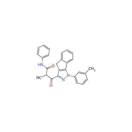 Cc1cccc(-n2nc(C(=O)C(C#N)C(=O)Nc3ccccc3)c3c2-c2ccccc2C3)c1